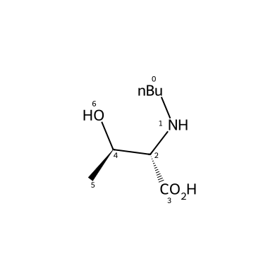 CCCCN[C@H](C(=O)O)[C@@H](C)O